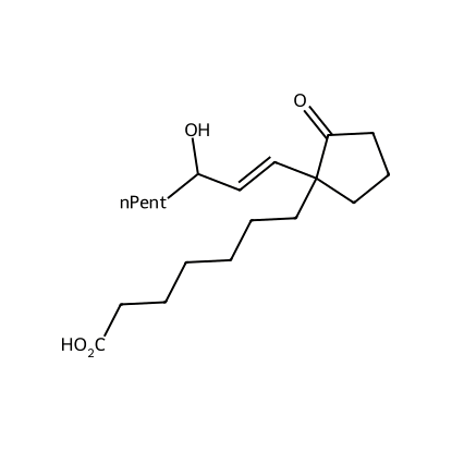 CCCCCC(O)/C=C/C1(CCCCCCC(=O)O)CCCC1=O